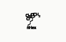 C=CC(CCCCCCCCCC)[Si](Cl)(Cl)Cl